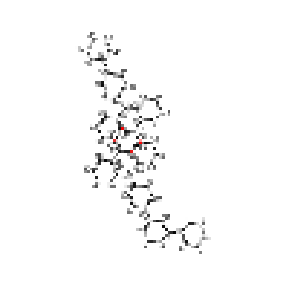 C1=CCCC(c2cccc(-c3ccc(N(C4=C(c5ccc(-c6ccccc6N(c6ccccc6)c6ccc(-c7ccccc7)cc6)cc5)C=CCC4)c4ccccc4)cc3)c2)=C1